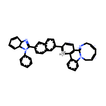 C=C(/C=C\C1=C(C)c2ccccc2N2C/C=C\C=C/C/N=C/12)c1ccc2cc(C3=NC4C=CC=CC4N3c3ccccc3)ccc2c1